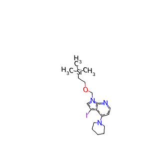 C[Si](C)(C)CCOCn1cc(I)c2c(N3CCCCC3)ccnc21